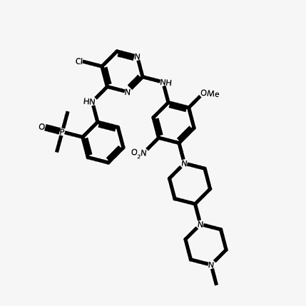 COc1cc(N2CCC(N3CCN(C)CC3)CC2)c([N+](=O)[O-])cc1Nc1ncc(Cl)c(Nc2ccccc2P(C)(C)=O)n1